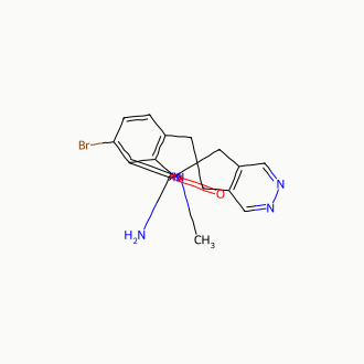 CN1C(=O)C2(N=C1N)c1cc(Br)ccc1CC21Cc2cnncc2C1